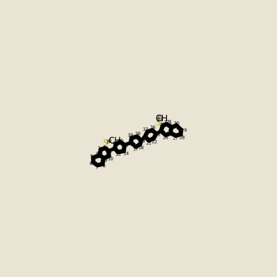 CSc1cc2ccccc2cc1-c1ccc(-c2ccc(-c3ccc(-c4cc5ccccc5cc4SC)cc3)cc2)cc1